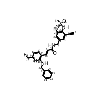 C#Cc1cc(CNC(=O)C=Cc2ccc(CF)nc2NCc2ccccc2)cc(F)c1NS(C)(=O)=O